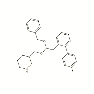 Fc1ccc(-c2ccccc2CC(OCc2ccccc2)OCC2CCCNC2)cc1